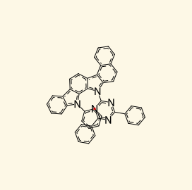 c1ccc(-c2nc(-c3ccccc3)nc(-n3c4ccc5ccccc5c4c4ccc5c6ccccc6n(-c6ccccc6)c5c43)n2)cc1